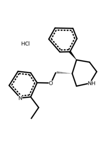 CCc1ncccc1OC[C@H]1CNCC[C@@H]1c1ccccc1.Cl